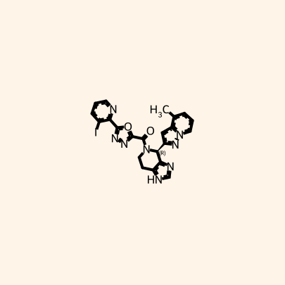 Cc1cccn2nc([C@H]3c4nc[nH]c4CCN3C(=O)c3nnc(-c4ncccc4I)o3)cc12